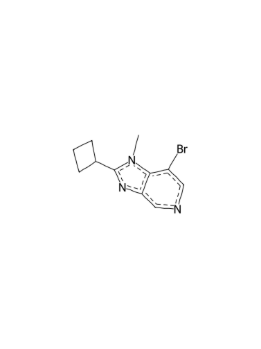 Cn1c(C2CCC2)nc2cncc(Br)c21